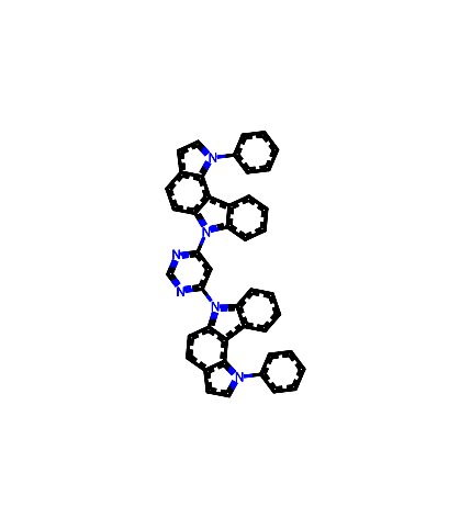 c1ccc(-n2ccc3ccc4c(c5ccccc5n4-c4cc(-n5c6ccccc6c6c7c(ccc65)ccn7-c5ccccc5)ncn4)c32)cc1